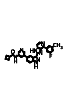 Cc1cc(F)cc(-c2nccc3[nH]c(-c4n[nH]c5ccc(-c6cncc(NC(=O)C7CCC7)c6)cc45)nc23)c1